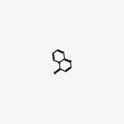 O=c1[c]cnc2ccccn12